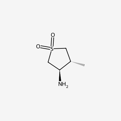 C[C@H]1CS(=O)(=O)C[C@@H]1N